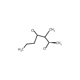 CCCC(Cl)C(C)[C@@H](C)Cl